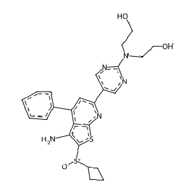 Nc1c([S+]([O-])C2CCC2)sc2nc(-c3cnc(N(CCO)CCO)nc3)cc(-c3ccccc3)c12